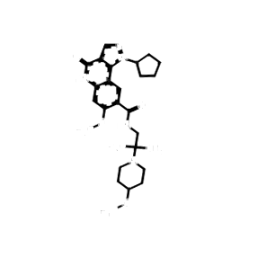 COc1cc2[nH]c(=O)c3cnn(C4CCCC4)c3c2cc1C(=O)NCC(C)(C)N1CCC(OC)CC1